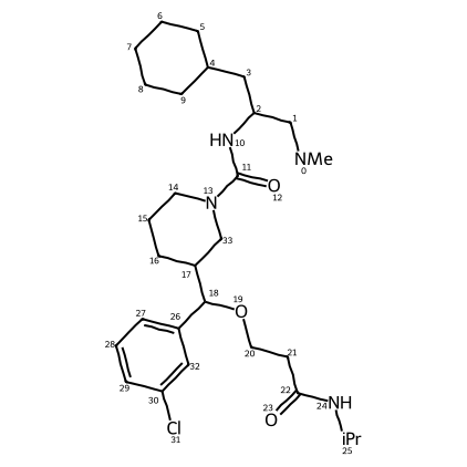 CNCC(CC1CCCCC1)NC(=O)N1CCCC(C(OCCC(=O)NC(C)C)c2cccc(Cl)c2)C1